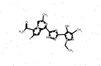 CCn1nc(C)c(O)c1-c1n[nH]c(-c2nc(C)cn3c(C(N)=O)c(F)cc23)n1